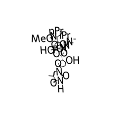 CCCN(OC)[C@H](C(=O)OP(=O)(O)OC(ON=[N+]=[N-])[C@H]1O[C@@H](n2cc(C)c(=O)[nH]c2=O)C[C@@H]1O)C(C)C